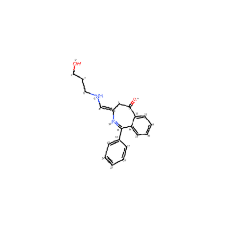 O=C1CC(=CNCCCO)N=C(c2ccccc2)c2ccccc21